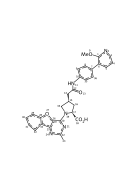 COc1ncccc1-c1ccc(NC(=O)C[C@H]2C[C@@H](C(=O)O)N(c3nc(C)nc4c3oc3ccccc34)C2)cc1